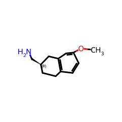 COc1ccc2c(c1)C[C@H](CN)CC2